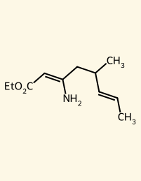 CC=CC(C)CC(N)=CC(=O)OCC